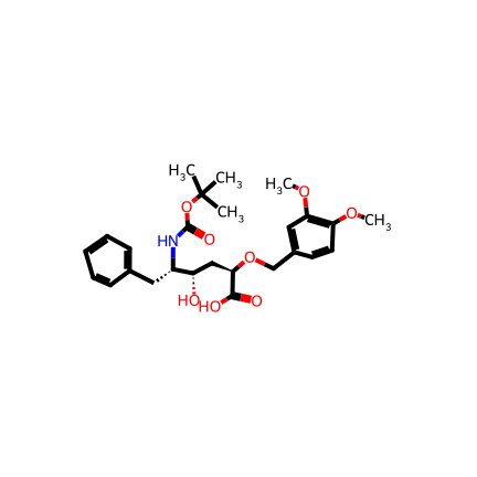 COc1ccc(CO[C@H](C[C@H](O)[C@H](Cc2ccccc2)NC(=O)OC(C)(C)C)C(=O)O)cc1OC